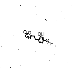 COc1ccc(CCc2noc(=O)o2)c(O)c1